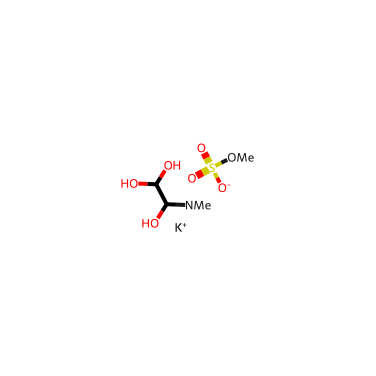 CNC(O)C(O)O.COS(=O)(=O)[O-].[K+]